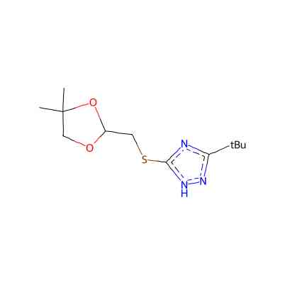 CC1(C)COC(CSc2nc(C(C)(C)C)n[nH]2)O1